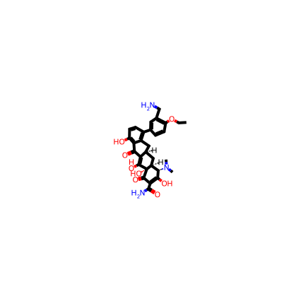 CCOc1ccc(-c2ccc(O)c3c2C[C@H]2C[C@H]4[C@H](N(C)C)C(O)=C(C(N)=O)C(=O)[C@@]4(O)C(O)=C2C3=O)cc1CN